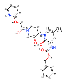 CC(C)C[C@H](NC(=O)OCc1ccccc1)C(=O)NC1CCN(C(=O)COc2ccccn2)CC1=O